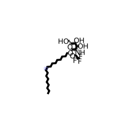 CCCCCCCC/C=C\CCCCCCCCO[C@@H]1O[C@H](CO)[C@@H](O)[C@H](O)[C@H]1NC(=O)C(F)(F)F